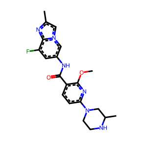 COc1nc(N2CCNC(C)C2)ccc1C(=O)Nc1cc(F)c2nc(C)cn2c1